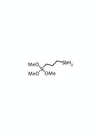 CO[Si](CC[CH2][SbH2])(OC)OC